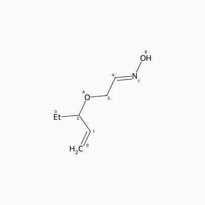 C=CC(CC)OC/C=N/O